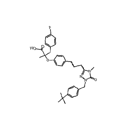 Cn1c(CCCc2ccc(OC(C)(Cc3ccc(F)cc3)C(=O)O)cc2)nn(Cc2ccc(C(C)(C)C)cc2)c1=O